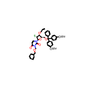 C=CCO[C@H]1[C@@H](F)[C@H](n2ccc(=O)n(COCc3ccccc3)c2=O)O[C@@H]1COC(c1ccccc1)(c1ccc(OC)cc1)c1ccc(OC)cc1